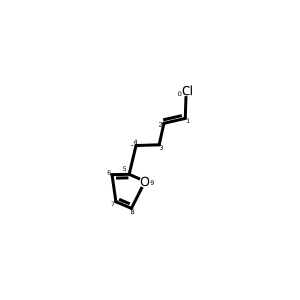 ClC=CC[CH]c1ccco1